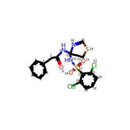 O=C(Cc1ccccc1)NC1(NS(=O)(=O)c2c(Cl)cccc2Cl)CSC=N1